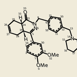 COc1ccc(C2=NN(Cc3ccc(CN4CCCCC4)cc3)C(=O)[C@H]3CC=CC[C@@H]23)cc1OC